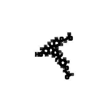 CC(C)(c1ccc(OCC2CO2)cc1)c1ccc(C(C)(c2ccc(O)cc2)c2ccc(OCC3CO3)cc2)cc1